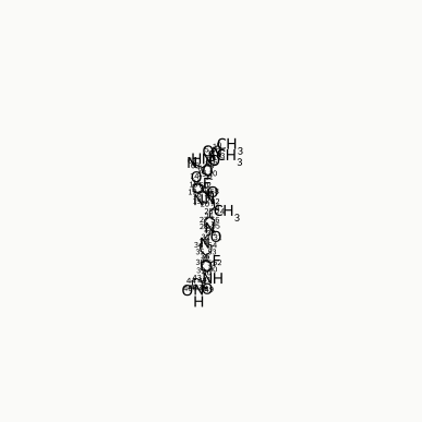 CCN(C)S(=O)(=O)Nc1ccc(F)c(Oc2ccc3ncn(CC(C)CC4CCN(C(=O)CN5CCC(c6ccc(NC7CCC(=O)NC7=O)cc6F)CC5)CC4)c(=O)c3c2)c1C#N